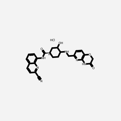 Cl.N#Cc1ccc2cccc(NC(=O)[C@@H]3CCC(NCc4ccc5c(n4)NC(=O)CO5)C(O)C3)c2n1